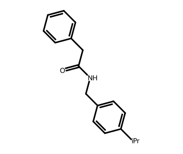 CC(C)c1ccc(CNC(=O)Cc2ccccc2)cc1